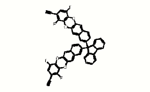 C#Cc1cc(F)c2c(c1F)Oc1cc3cc(C4(c5ccc6cc7c(cc6c5)Oc5c(F)c(C#C)cc(F)c5O7)c5ccccc5-c5ccccc54)ccc3cc1O2